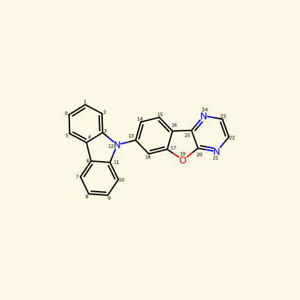 c1ccc2c(c1)c1ccccc1n2-c1ccc2c(c1)oc1nccnc12